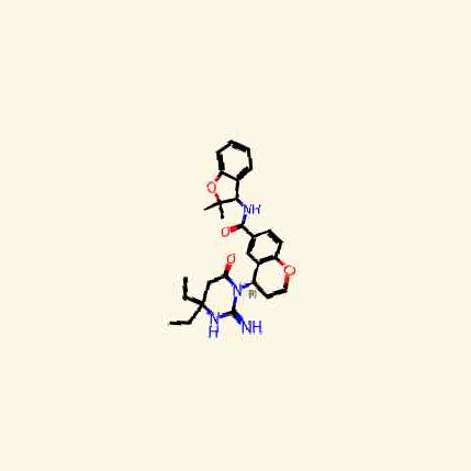 CCC1(CC)CC(=O)N([C@@H]2CCOc3ccc(C(=O)NC4c5ccccc5OC4(C)C)cc32)C(=N)N1